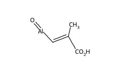 CC(=[CH][Al]=[O])C(=O)O